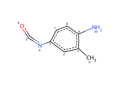 Cc1cc(N=C=O)ccc1N